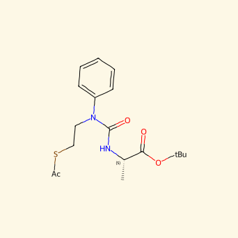 CC(=O)SCCN(C(=O)N[C@@H](C)C(=O)OC(C)(C)C)c1ccccc1